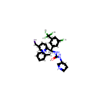 O=C(Nc1cccnc1)N[C@](Cc1ccccc1)(c1cc(F)cc(C(F)(F)F)c1)c1ccc(CI)cn1